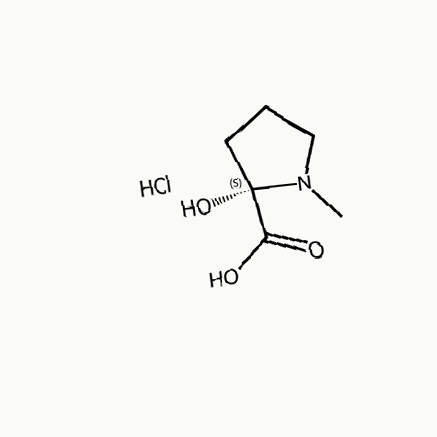 CN1CCC[C@]1(O)C(=O)O.Cl